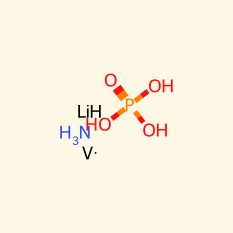 N.O=P(O)(O)O.[LiH].[V]